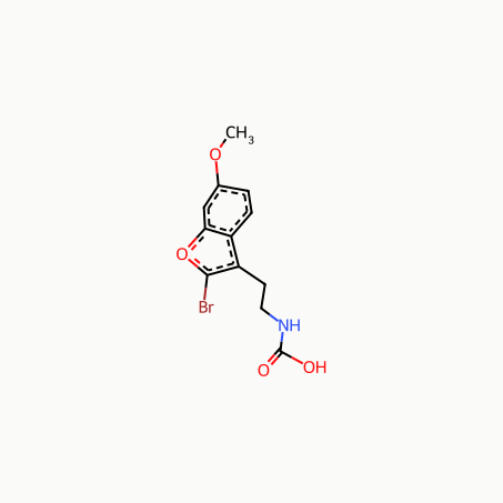 COc1ccc2c(CCNC(=O)O)c(Br)oc2c1